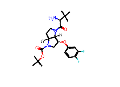 CC(C)(C)OC(=O)N1C[C@H](Oc2ccc(F)c(F)c2)[C@@H]2[C@H]1CCN2C(=O)[C@@H](N)C(C)(C)C